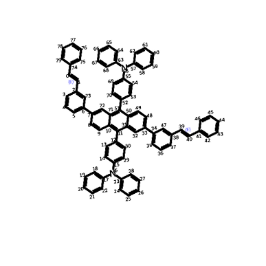 C(=C\c1cccc(-c2ccc3c(-c4ccc(N(c5ccccc5)c5ccccc5)cc4)c4cc(-c5cccc(/C=C/c6ccccc6)c5)ccc4c(-c4ccc(N(c5ccccc5)c5ccccc5)cc4)c3c2)c1)/c1ccccc1